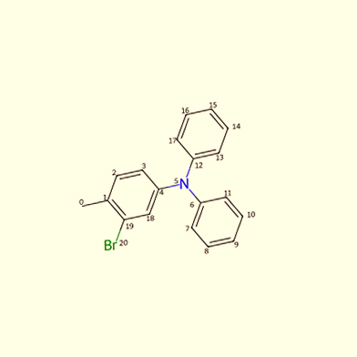 Cc1ccc(N(c2ccccc2)c2ccccc2)cc1Br